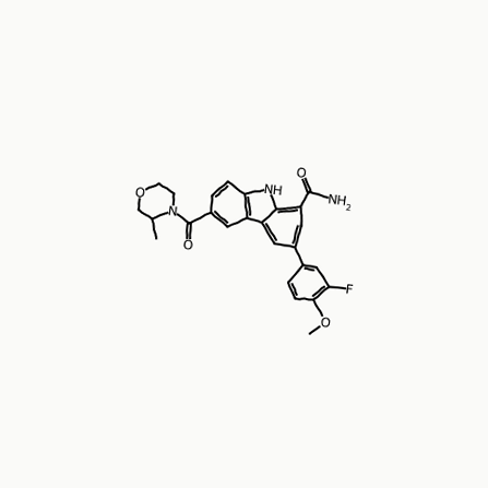 COc1ccc(-c2cc(C(N)=O)c3[nH]c4ccc(C(=O)N5CCOCC5C)cc4c3c2)cc1F